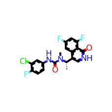 C[C@@H](c1c[nH]c(=O)c2c(F)cc(F)cc12)N(C)C(=O)Nc1ccc(F)c(Cl)c1